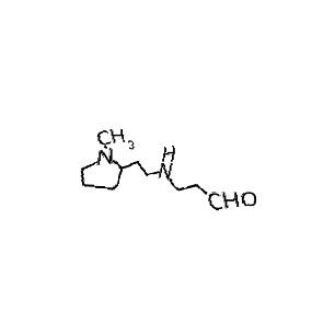 CN1CCCC1CCNCCC=O